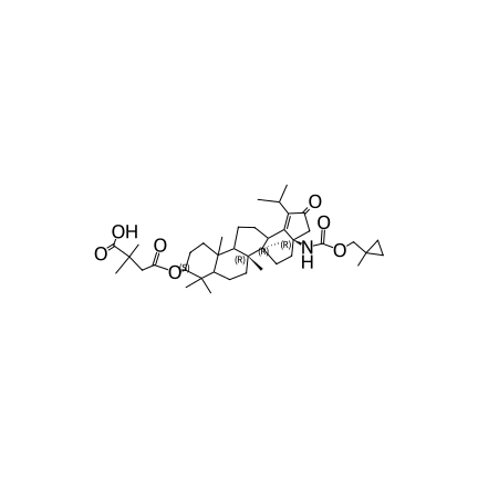 CC(C)C1=C2C3CCC4C5(C)CC[C@H](OC(=O)CC(C)(C)C(=O)O)C(C)(C)C5CC[C@@]4(C)[C@]3(C)CC[C@@]2(NC(=O)OCC2(C)CC2)CC1=O